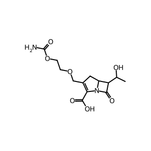 CC(O)C1C(=O)N2C(C(=O)O)=C(COCCOC(N)=O)CC12